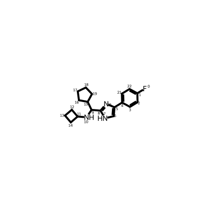 Fc1ccc(-c2c[nH]c(C(NC3CCC3)C3CCCC3)n2)cc1